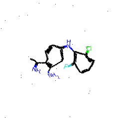 CC(=N)c1ccc(Nc2c(F)cccc2Cl)cc1N